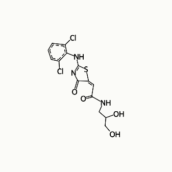 O=C(C=C1SC(Nc2c(Cl)cccc2Cl)=NC1=O)NCC(O)CO